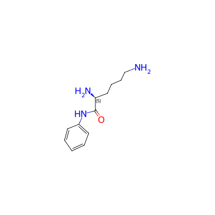 NCCCC[C@H](N)C(=O)Nc1ccccc1